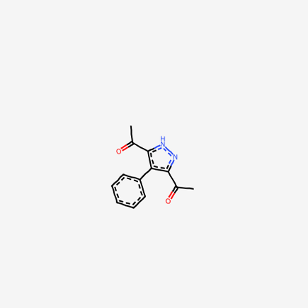 CC(=O)c1n[nH]c(C(C)=O)c1-c1ccccc1